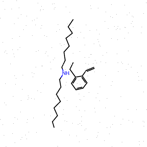 C=Cc1ccccc1CC.CCCCCCCCNCCCCCCCC